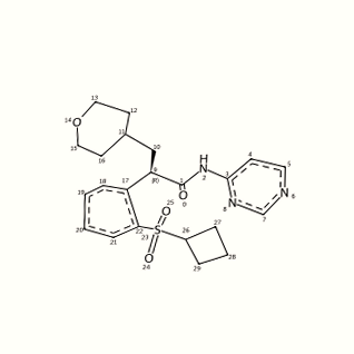 O=C(Nc1ccncn1)[C@H](CC1CCOCC1)c1ccccc1S(=O)(=O)C1CCC1